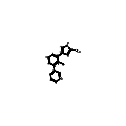 [CH2]c1c(-c2cccnc2)cccc1-c1csc(C(F)(F)F)c1